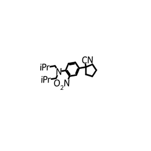 CC(C)CN(CC(C)C)c1ccc(C2(C#N)CCCC2)cc1[N+](=O)[O-]